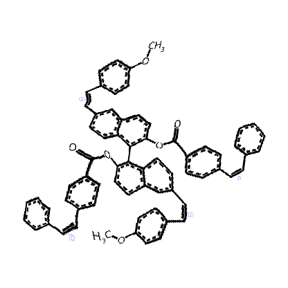 COc1ccc(/C=C\c2ccc3c(-c4c(OC(=O)c5ccc(/C=C\c6ccccc6)cc5)ccc5cc(/C=C\c6ccc(OC)cc6)ccc45)c(OC(=O)c4ccc(/C=C\c5ccccc5)cc4)ccc3c2)cc1